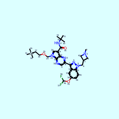 CN1CC(Cn2nc(-c3cnc4c(n3)c(C(=O)NC(C)(C)C)cn4COCC[Si](C)(C)C)c3cc(OC(F)F)ccc32)C1